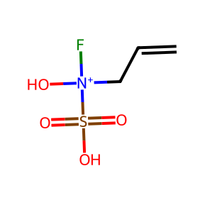 C=CC[N+](O)(F)S(=O)(=O)O